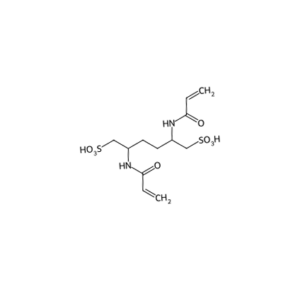 C=CC(=O)NC(CCC(CS(=O)(=O)O)NC(=O)C=C)CS(=O)(=O)O